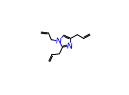 C=CCc1cn(CC=C)c(CC=C)n1